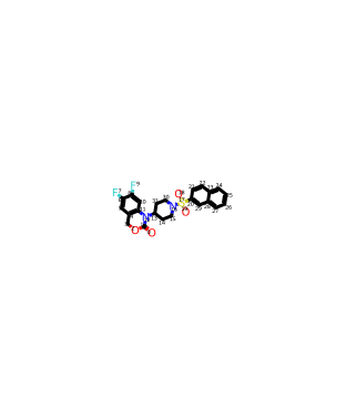 O=C1OCc2cc(F)c(F)cc2N1C1CCN(S(=O)(=O)c2ccc3ccccc3c2)CC1